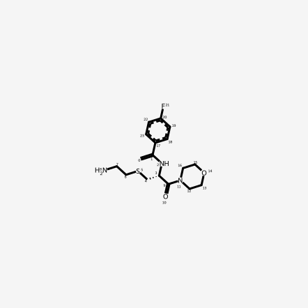 C=C(N[C@@H](CSCCN)C(=O)N1CCOCC1)c1ccc(F)cc1